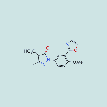 COc1ccc(N2N=C(C)C(C(=O)O)C2=O)cc1-c1ncco1